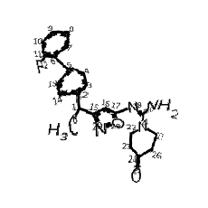 CC(c1ccc(-c2ccccc2F)cc1)c1cc(/N=C(/N)N2CCC(=O)CC2)on1